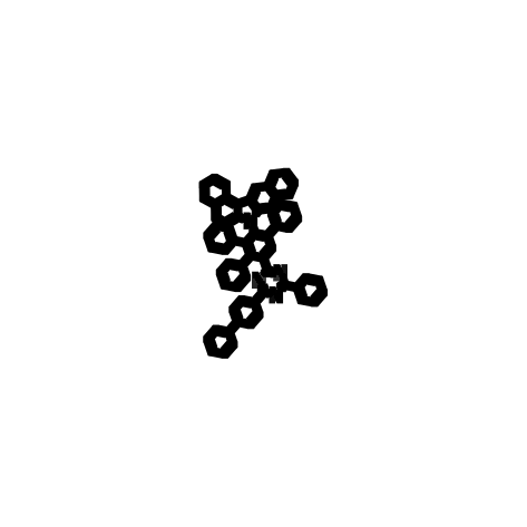 c1ccc(-c2ccc(-c3nc(-c4ccccc4)nc(-c4cc(-c5ccccc5)c(-n5c6cc7ccccc7cc6c6c7ccccc7ccc65)c(-c5ccccc5)c4-c4ccccc4)n3)cc2)cc1